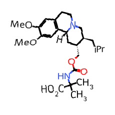 COc1cc2c(cc1OC)[C@H]1C[C@@H](COC(=O)NC(C)(C)C(=O)O)[C@H](CC(C)C)CN1CC2